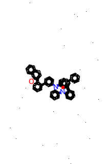 c1ccc(-c2ccc(N(c3cccc(-c4cccc5oc6c7ccccc7ccc6c45)c3)c3ccccc3-n3c4ccccc4c4ccccc43)cc2)cc1